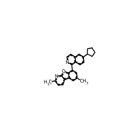 Cc1cc(-c2nccc3cc(C4CCCC4)ccc23)c2oc3nc(C)ccc3c2c1